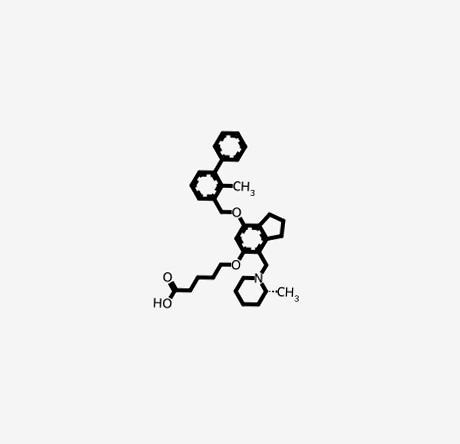 Cc1c(COc2cc(OCCCCC(=O)O)c(CN3CCCC[C@H]3C)c3c2CCC3)cccc1-c1ccccc1